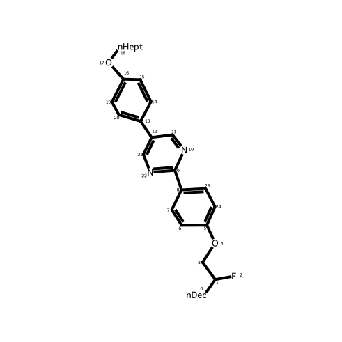 CCCCCCCCCCC(F)COc1ccc(-c2ncc(-c3ccc(OCCCCCCC)cc3)cn2)cc1